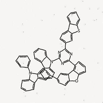 c1ccc(-n2c3ccccc3c3cc(-c4ccc5oc6cccc(-c7nc(-c8ccc9c(c8)sc8ccccc89)nc(-n8c9ccccc9c9ccccc98)n7)c6c5c4)ccc32)cc1